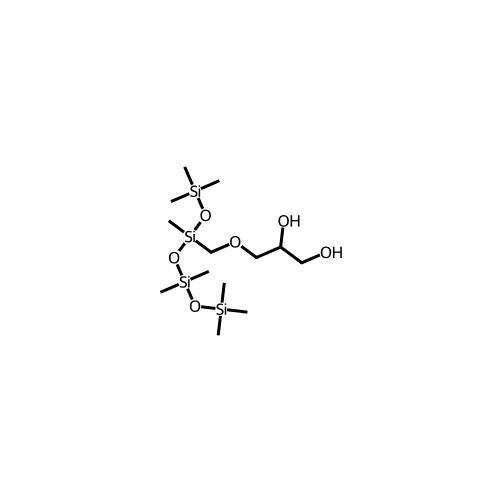 C[Si](C)(C)O[Si](C)(C)O[Si](C)(COCC(O)CO)O[Si](C)(C)C